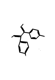 C/C=C(/C(=C/C)c1ccc(O)cc1)c1ccc(O)cc1.N